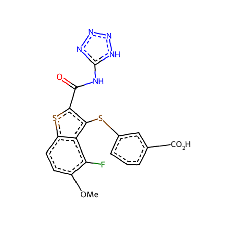 COc1ccc2sc(C(=O)Nc3nnn[nH]3)c(Sc3cccc(C(=O)O)c3)c2c1F